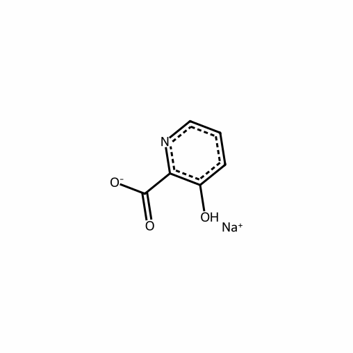 O=C([O-])c1ncccc1O.[Na+]